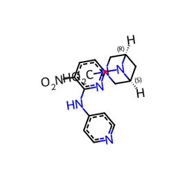 O=C(O)N1C[C@H]2C[C@@H](C1)N2c1ccc([N+](=O)[O-])c(Nc2ccncc2)n1